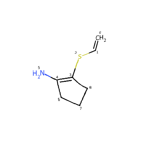 C=CSC1=C(N)CCC1